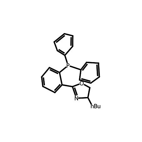 CCCCC1COC(c2ccccc2P(c2ccccc2)c2ccccc2)=N1